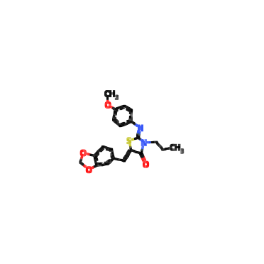 CCCN1C(=O)/C(=C/c2ccc3c(c2)OCO3)S/C1=N\c1ccc(OC)cc1